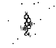 C=CC[C@]1(O)CC[C@H]2[C@@H]3CCC4=CC(=O)CCC4=C3C=C[C@@]21C